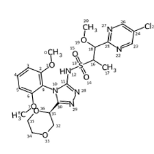 COc1cccc(OC)c1-n1c(NS(=O)(=O)C(C)C(OC)c2ncc(Cl)cn2)nnc1[C@H]1COCCO1